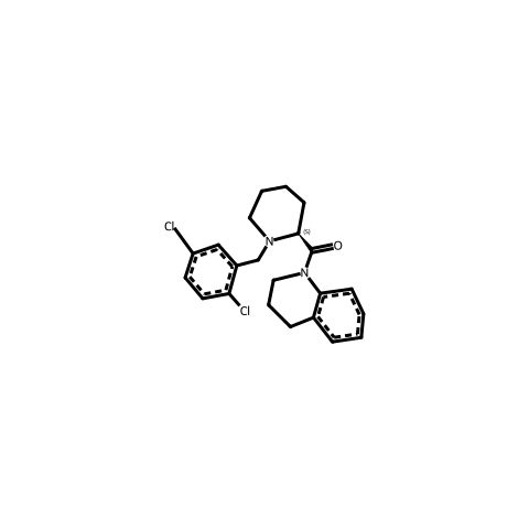 O=C([C@@H]1CCCCN1Cc1cc(Cl)ccc1Cl)N1CCCc2ccccc21